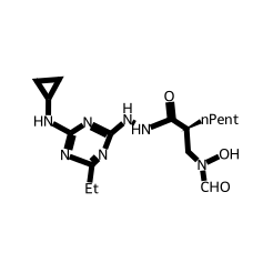 CCCCC[C@@H](CN(O)C=O)C(=O)NNc1nc(CC)nc(NC2CC2)n1